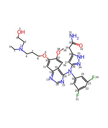 CCN(CCO)CCCOc1cc2ncnc(N(c3cc(F)cc(F)c3)c3cc(CC(N)=O)[nH]n3)c2cc1OC